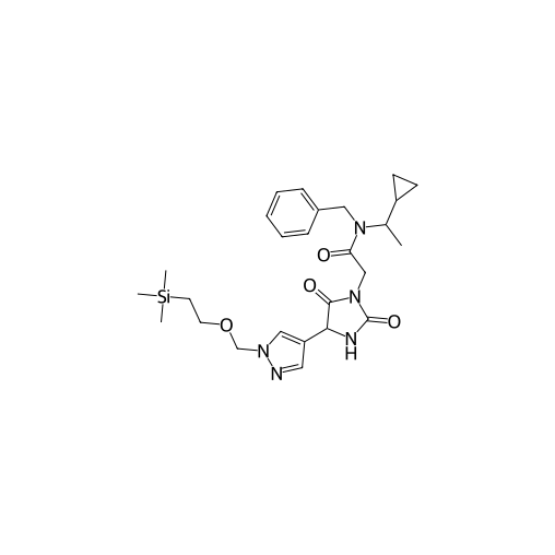 CC(C1CC1)N(Cc1ccccc1)C(=O)CN1C(=O)NC(c2cnn(COCC[Si](C)(C)C)c2)C1=O